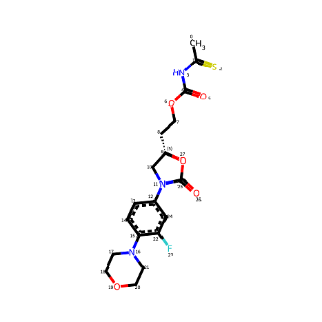 CC(=S)NC(=O)OCC[C@H]1CN(c2ccc(N3CCOCC3)c(F)c2)C(=O)O1